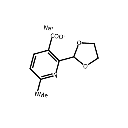 CNc1ccc(C(=O)[O-])c(C2OCCO2)n1.[Na+]